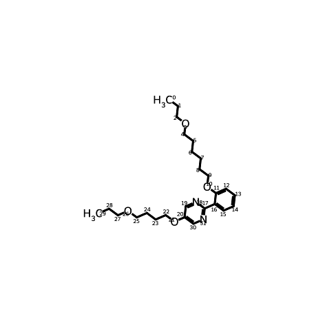 CCCOCCCCCCOc1ccccc1-c1ncc(OCCCCOCCC)cn1